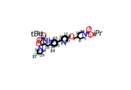 CC(C)OC(=O)N1CCC(COc2ccc(-c3ccc(CC(NC(=O)OC(C)(C)C)C(=O)N4CC[C@H](F)C4)c(F)c3)nc2)CC1